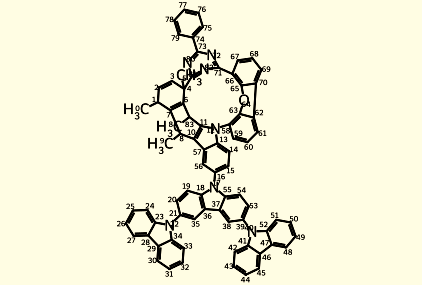 CC1C=CC2(C)C3=C1C(C)c1c(n(c4ccc(-n5c6ccc(-n7c8ccccc8c8ccccc87)cc6c6cc(-n7c8ccccc8c8ccccc87)ccc65)cc14)-c1cccc4c1oc1c(cccc14)-c1nc(-c4ccccc4)nc2n1)C3C